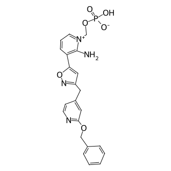 Nc1c(-c2cc(Cc3ccnc(OCc4ccccc4)c3)no2)ccc[n+]1COP(=O)([O-])O